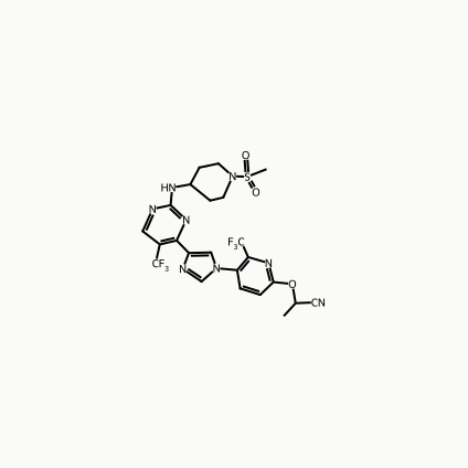 CC(C#N)Oc1ccc(-n2cnc(-c3nc(NC4CCN(S(C)(=O)=O)CC4)ncc3C(F)(F)F)c2)c(C(F)(F)F)n1